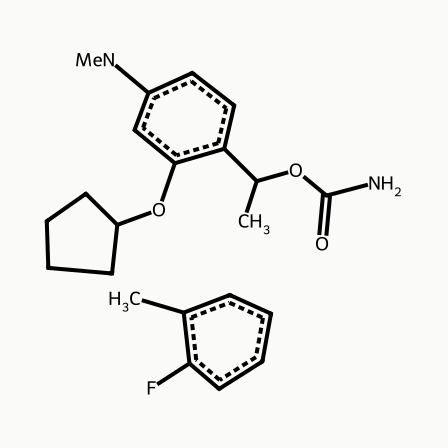 CNc1ccc(C(C)OC(N)=O)c(OC2CCCC2)c1.Cc1ccccc1F